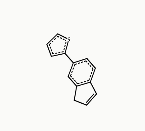 C1=Cc2ccc(-c3cccs3)cc2C1